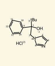 CC(C)(C)C(O)(Cn1ccnc1)c1ccccc1.Cl